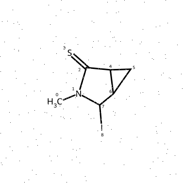 CN1C(=S)C2CC2C1I